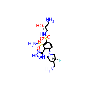 NCC1CCN(c2ccc(S(=O)(=O)NC[C@H](O)CN)c(S(N)(=O)=O)c2-c2nn[nH]n2)C[C@@H]1F